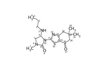 CCCNC1CN(C)C(=O)N1c1nc2c(s1)C(=O)CC(C)(C)C2